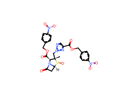 C[C@]1(Cn2ncc(C(=O)OCc3ccc([N+](=O)[O-])cc3)n2)[C@H](C(=O)OCc2ccc([N+](=O)[O-])cc2)N2C(=O)C[C@@H]2[S+]1[O-]